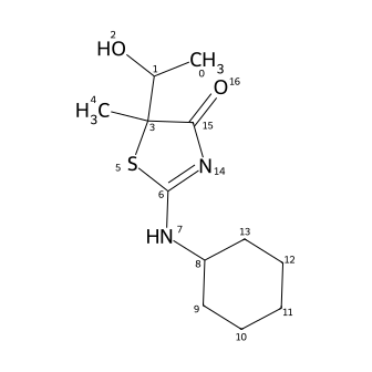 CC(O)C1(C)SC(NC2CCCCC2)=NC1=O